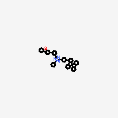 c1ccc(-c2nc(-c3ccc(-c4cccc5c4-c4ccccc4C54c5ccccc5-c5ccccc54)cc3)nc(-c3cccc(-c4ccc5c(c4)oc4ccccc45)c3)n2)cc1